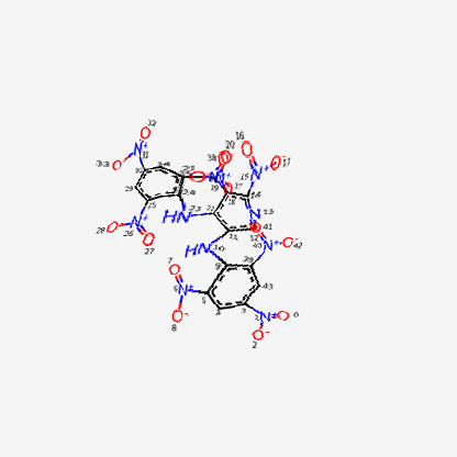 O=[N+]([O-])c1cc([N+](=O)[O-])c(Nc2cnc([N+](=O)[O-])c([N+](=O)[O-])c2Nc2c([N+](=O)[O-])cc([N+](=O)[O-])cc2[N+](=O)[O-])c([N+](=O)[O-])c1